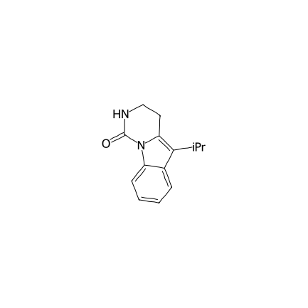 CC(C)c1c2n(c3ccccc13)C(=O)NCC2